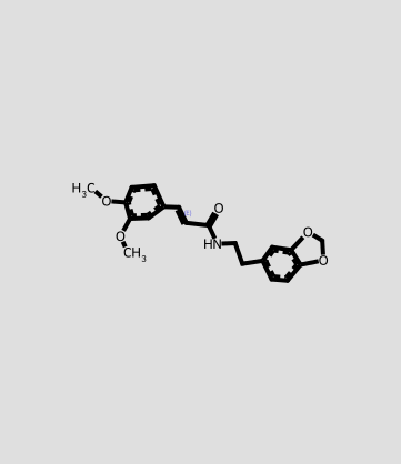 COc1ccc(/C=C/C(=O)NCCc2ccc3c(c2)OCO3)cc1OC